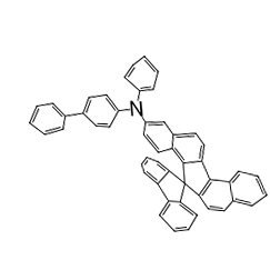 c1ccc(-c2ccc(N(c3ccccc3)c3ccc4c5c(ccc4c3)-c3c(ccc4ccccc34)C53c4ccccc4-c4ccccc43)cc2)cc1